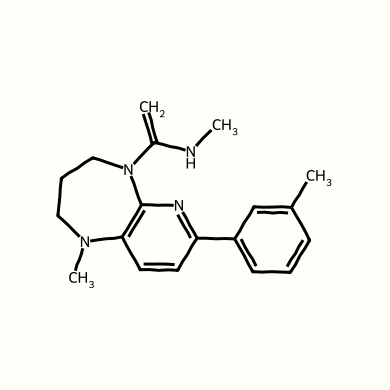 C=C(NC)N1CCCN(C)c2ccc(-c3cccc(C)c3)nc21